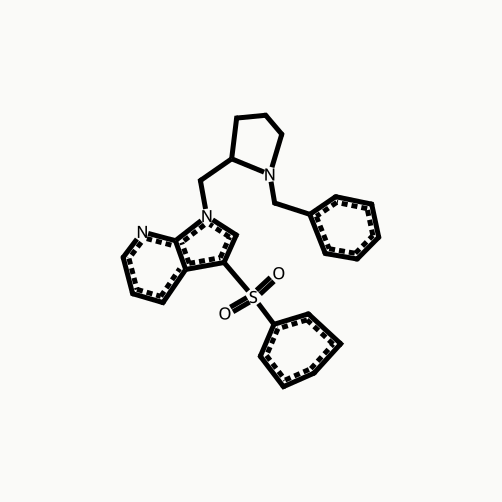 O=S(=O)(c1ccccc1)c1cn(CC2CCCN2Cc2ccccc2)c2ncccc12